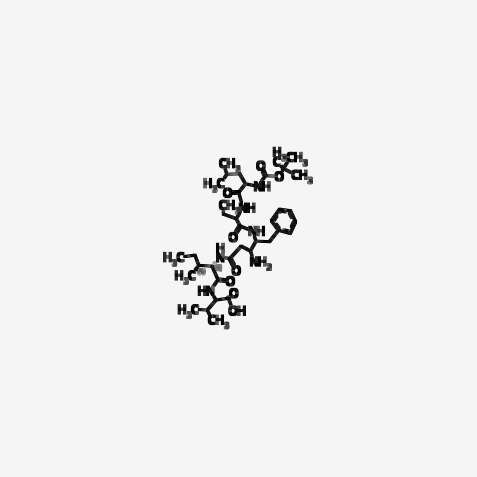 CCC(NC(=O)C(CC(C)C)NC(=O)OC(C)(C)C)C(=O)NC(Cc1ccccc1)C(N)CC(=O)N[C@H](C(=O)NC(C(=O)O)C(C)C)[C@@H](C)CC